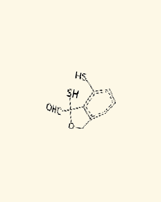 O=CC1(S)OCc2cccc(S)c21